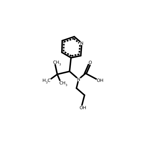 CC(C)(C)C(c1cccnc1)N(CCO)C(=O)O